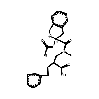 CN(CC(CCc1ccccc1)C(=O)O)C(=O)[C@@]1(OC(=O)O)Cc2ccccc2CN1